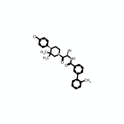 Cc1ccccc1-c1cccc(C(=O)N[C@@H](C(=O)N2CC[C@H](c3ccc(Cl)cc3)C(C)(C)C2)C(C)C)c1